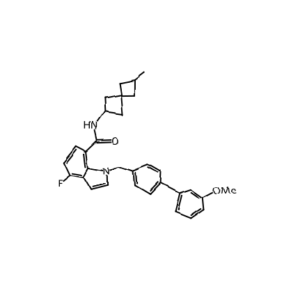 COc1cccc(-c2ccc(Cn3ccc4c(F)ccc(C(=O)NC5CC6(CC(C)C6)C5)c43)cc2)c1